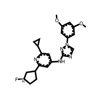 COc1cc(OC)cc(-n2cnc(Nc3cc(C4CC4)nc(C4CC[C@@H](F)C4)c3)n2)c1